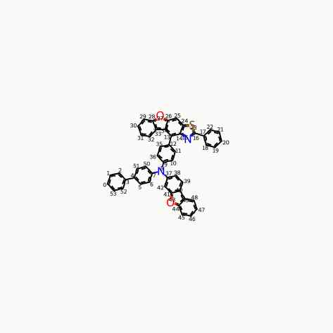 c1ccc(-c2ccc(N(c3ccc(-c4c5nc(-c6ccccc6)sc5cc5oc6ccccc6c45)cc3)c3ccc4c(c3)oc3ccccc34)cc2)cc1